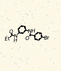 CCC(=O)Nc1cccc(NC(=O)c2ccc(Br)cc2)c1